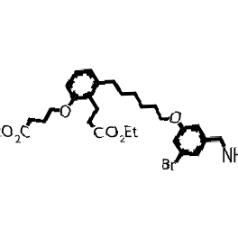 CCOC(=O)CCCOc1cccc(CCCCCCOc2cc(Br)cc(CN)c2)c1CCC(=O)OCC